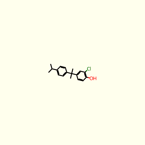 CC(C)c1ccc(C(C)(C)c2ccc(O)c(Cl)c2)cc1